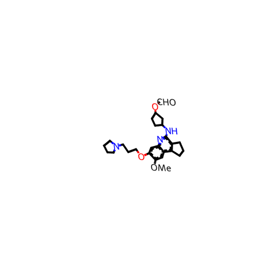 COc1cc2c3c(c(NC4CCC(OC=O)C4)nc2cc1OCCCN1CCCC1)CCC3